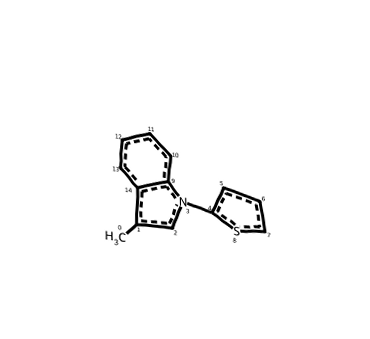 Cc1cn(-c2cccs2)c2ccccc12